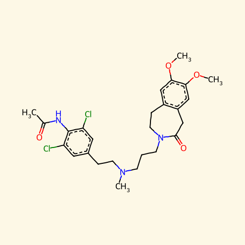 COc1cc2c(cc1OC)CC(=O)N(CCCN(C)CCc1cc(Cl)c(NC(C)=O)c(Cl)c1)CC2